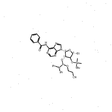 CC[C@H]1O[C@@H](n2cnc3c(NC(=O)c4ccccc4)ncnc32)[C@@H](OP(OCCC#N)N(C(C)C)C(C)C)C1O[Si](C)(C)C(C)(C)C